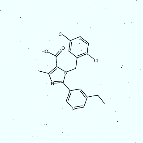 CCc1cncc(-c2nc(C)c(C(=O)O)n2Cc2cc(Cl)ccc2Cl)c1